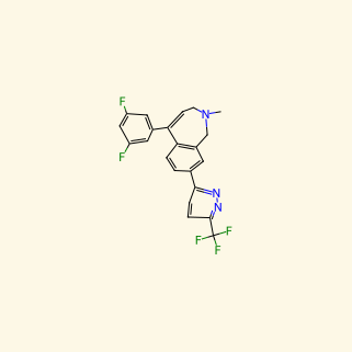 CN1CC=C(c2cc(F)cc(F)c2)c2ccc(-c3ccc(C(F)(F)F)nn3)cc2C1